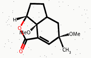 CO[C@@]1(C)C=C2C(=O)O[C@@H]3CCC(C1)[C@]23OC